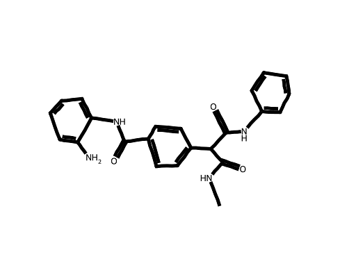 CNC(=O)C(C(=O)Nc1ccccc1)c1ccc(C(=O)Nc2ccccc2N)cc1